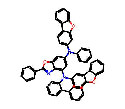 c1ccc(-c2nc3c(N(c4ccc5oc6ccccc6c5c4)c4ccccc4-c4ccccc4)cc(N(c4ccccc4)c4ccc5c(c4)oc4ccccc45)cc3o2)cc1